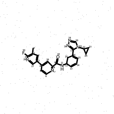 Cc1cc(-c2ccnc(C(=O)NC3C=CC=C(c4nncn4C4CC4)C3)c2)cnc1F